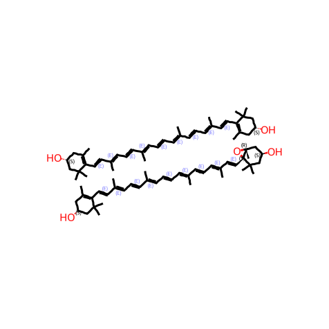 CC1=C(/C=C/C(C)=C/C=C/C(C)=C/C=C/C=C(C)/C=C/C=C(C)/C=C/C2=C(C)C[C@@H](O)CC2(C)C)C(C)(C)C[C@H](O)C1.CC1=C(/C=C/C(C)=C/C=C/C(C)=C/C=C/C=C(C)/C=C/C=C(C)/C=C/[C@@]23O[C@]2(C)C[C@@H](O)CC3(C)C)C(C)(C)C[C@H](O)C1